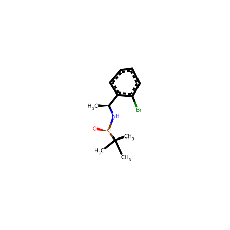 C[C@H](N[S@+]([O-])C(C)(C)C)c1ccccc1Br